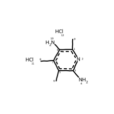 Cc1nc(N)c(C)c(C)c1N.Cl.Cl